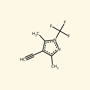 C#Cc1c(C)nn(C(F)(F)F)c1C